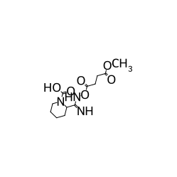 COC(=O)CCC(=O)ONC(=N)C1CCCCN1C(=O)O